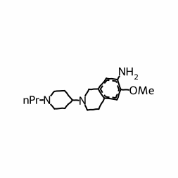 CCCN1CCC(N2CCc3cc(OC)c(N)cc3C2)CC1